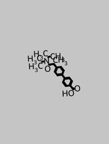 CC(C(=O)N(C(C)C)C(C)C)c1ccc(-c2ccc(C(=O)O)cc2)cc1